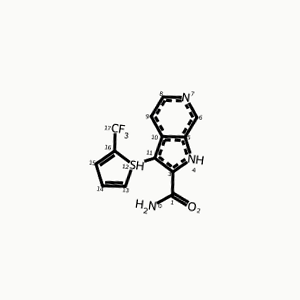 NC(=O)c1[nH]c2cnccc2c1[SH]1C=CC=C1C(F)(F)F